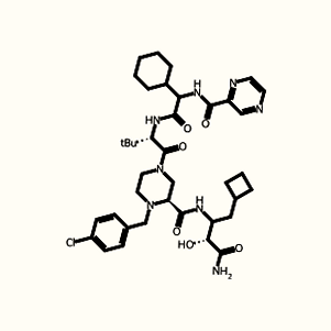 CC(C)(C)[C@H](NC(=O)C(NC(=O)c1cnccn1)C1CCCCC1)C(=O)N1CCN(Cc2ccc(Cl)cc2)[C@H](C(=O)NC(CC2CCC2)[C@@H](O)C(N)=O)C1